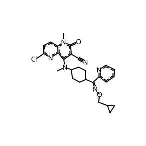 CN(c1c(C#N)c(=O)n(C)c2ccc(Cl)nc12)C1CCC(/C(=N/OCC2CC2)c2ccccn2)CC1